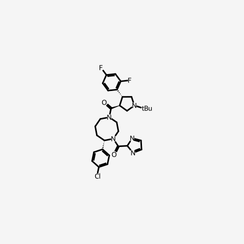 CC(C)(C)N1C[C@@H](C(=O)N2CCC[C@@H](c3ccc(Cl)cc3)N(C(=O)C3N=CC=N3)CC2)[C@H](c2ccc(F)cc2F)C1